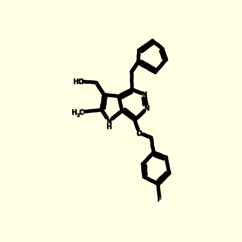 Cc1[nH]c2c(OCc3ccc(F)cc3)nnc(Cc3ccccc3)c2c1CO